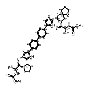 COC(=O)N[C@H](C(=O)N1CCC[C@H]1c1ncc(-c2ccc(-c3ccc(-c4cnc([C@@H]5C[C@@]6(CCCO6)CN5C(=O)[C@@H](NC(=O)OC)C(C)C)[nH]4)cc3)cc2)[nH]1)C(C)C